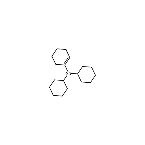 C1=[C]([Sb]([CH]2CCCCC2)[CH]2CCCCC2)CCCC1